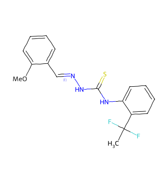 COc1ccccc1/C=N/NC(=S)Nc1ccccc1C(C)(F)F